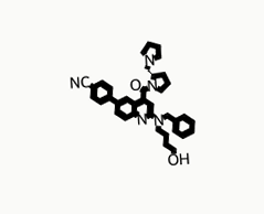 N#Cc1ccc(-c2ccc3nc(N(CCCCO)Cc4ccccc4)cc(C(=O)N4CCC[C@H]4CN4CCCC4)c3c2)cc1